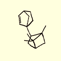 CC1(C)C2CC(C34C=CC(CC3)C4)C1(C)C2